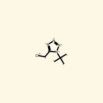 CC(C)(C)n1nnnc1CCl